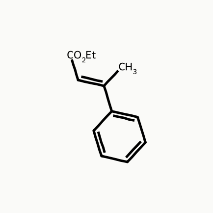 CCOC(=O)C=C(C)c1ccccc1